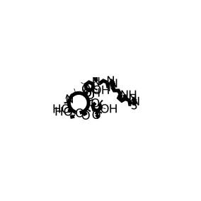 CC[C@H]1OC(=O)[C@H](C)[C@@H](C2C[C@@](C)(OC)[C@@H](O)[C@H](C)O2)[C@H](C)[C@@H](O[C@@H]2O[C@H](C)C[C@H](N(C)CCc3cn(CCc4ccc(-c5csnn5)[nH]4)nn3)[C@H]2O)[C@](C)(O)C[C@@H](C)CN(C)[C@H](C)[C@@H](O)[C@]1(C)O